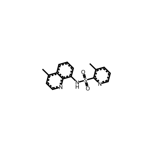 Cc1cccnc1S(=O)(=O)Nc1cccc2c(C)ccnc12